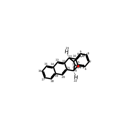 OC1C(O)[C@H]2c3ccccc3[C@@H]1c1cc3ccccc3cc12